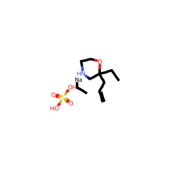 C=CCC1(CC)CNCCO1.C[CH2][Na].O=S(=O)(O)O